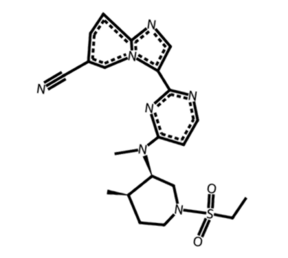 CCS(=O)(=O)N1CC[C@@H](C)[C@@H](N(C)c2ccnc(-c3cnc4ccc(C#N)cn34)n2)C1